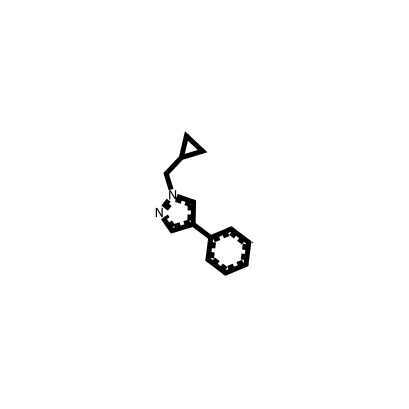 [c]1cccc(-c2cnn(CC3CC3)c2)c1